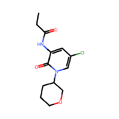 CCC(=O)Nc1cc(Cl)cn(C2CCCOC2)c1=O